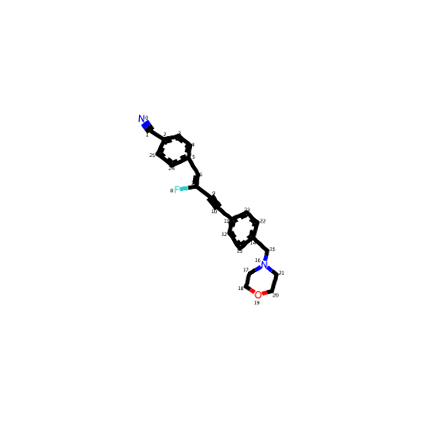 N#Cc1ccc(C=C(F)C#Cc2ccc(CN3CCOCC3)cc2)cc1